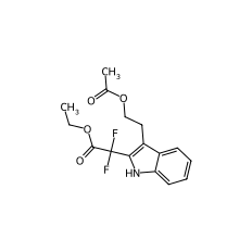 CCOC(=O)C(F)(F)c1[nH]c2ccccc2c1CCOC(C)=O